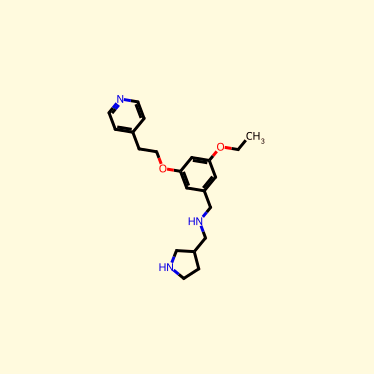 CCOc1cc(CNCC2CCNC2)cc(OCCc2ccncc2)c1